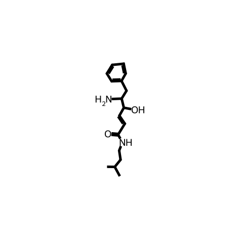 CC(C)CCNC(=O)C=CC(O)C(N)Cc1ccccc1